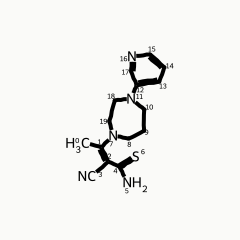 CC(=C(C#N)C(N)=S)N1CCCN(c2cccnc2)CC1